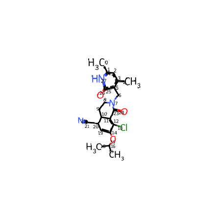 Cc1cc(C)c(CN2CCC3C(=C(Cl)C(OC(C)C)=CC3C#N)C2=O)c(=O)[nH]1